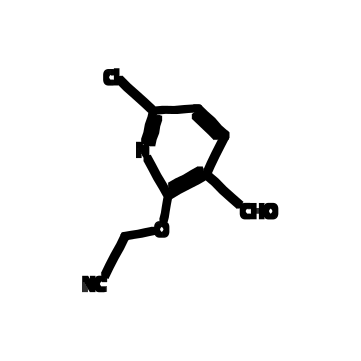 N#CCOc1nc(Cl)ccc1C=O